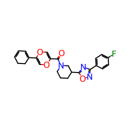 O=C(C1=COC(C2=CC=CCC2)=CO1)N1CCCC(c2nc(-c3ccc(F)cc3)no2)C1